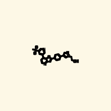 CS(=O)(=O)c1cncc(-c2ccnc3cc(-c4ccc(-c5cnn(CCO)c5)cc4)oc23)c1